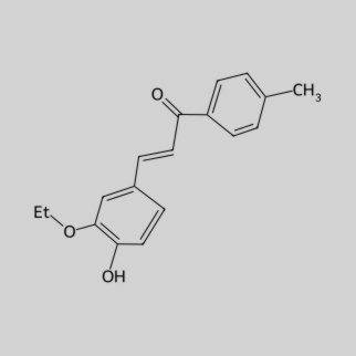 CCOc1cc(/C=C/C(=O)c2ccc(C)cc2)ccc1O